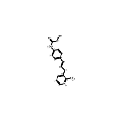 CC(C)OC(=O)Nc1ccc(C=CCc2c[c]cnc2C(F)(F)F)cc1